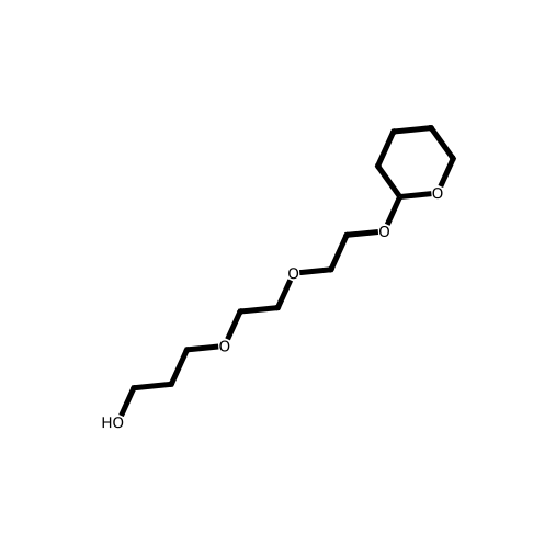 OCCCOCCOCCOC1CCCCO1